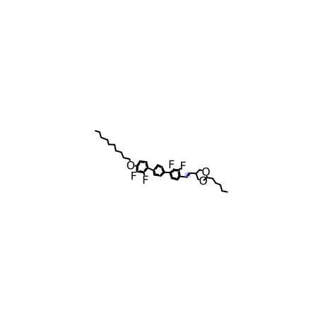 CCCCCCCCCCOc1ccc(-c2ccc(-c3ccc(/C=C/C4COC(CCCCC)OC4)c(F)c3F)cc2)c(F)c1F